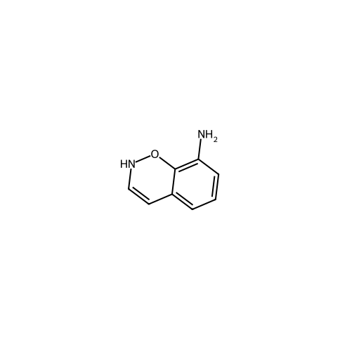 Nc1cccc2c1ONC=C2